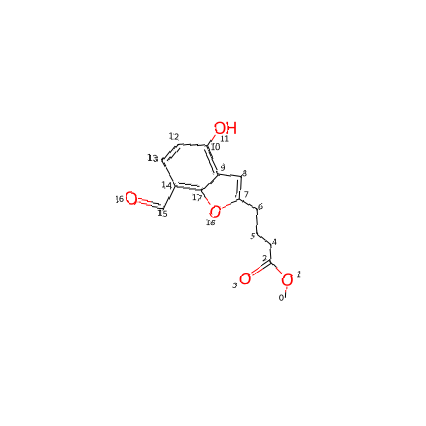 COC(=O)CCCc1cc2c(O)ccc(C=O)c2o1